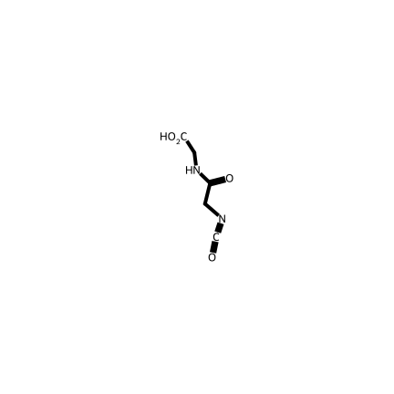 O=C=NCC(=O)NCC(=O)O